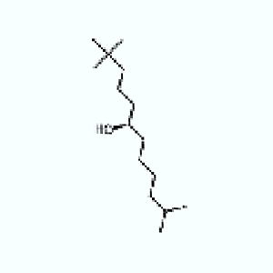 CC(C)CCCC[C@@H](O)CCCC(C)(C)C